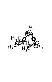 COCCN(C)C(=O)c1ccc(-c2c[nH]c3nnc(-c4cc(C)c(N5CCN(C)CC5)c(C)c4)cc23)cc1